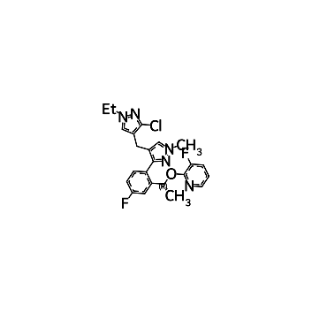 CCn1cc(Cc2cn(C)nc2-c2ccc(F)cc2[C@@H](C)Oc2ncccc2F)c(Cl)n1